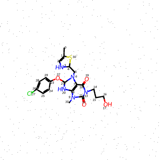 CC1=CNC(CN2c3c(n(C)c(=O)n(CCCO)c3=O)NC2Oc2ccc(Cl)cc2)S1